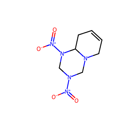 O=[N+]([O-])N1CN2CC=CCC2N([N+](=O)[O-])C1